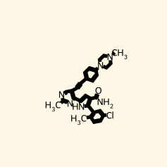 Cc1ncc(C#Cc2ccc(N3CCN(C)CC3)cc2)c(-c2cc(C(N)=O)c(-c3cc(Cl)ccc3C)[nH]2)n1